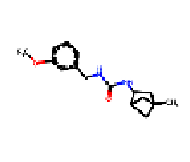 CC12CC(C1)C(NC(=O)NCc1cccc(OC(F)(F)F)c1)C2